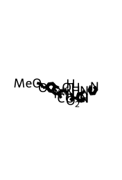 COCOc1ccc2c(c1)CN(C(=O)O)[C@H]([C@H](O)CNC(=O)c1ccnc(Nc3cccnc3)c1)C2